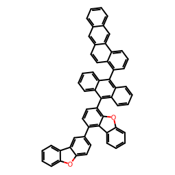 c1ccc2cc3c(ccc4c(-c5c6ccccc6c(-c6ccc(-c7ccc8oc9ccccc9c8c7)c7c6oc6ccccc67)c6ccccc56)cccc43)cc2c1